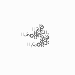 COc1ccc(S(=O)(=O)N2CCC[C@H](C(C)Cc3cccnc3)[C@H]2C(=O)NO)cc1.COc1ccc(S(=O)(=O)N2CCOC(c3cccnc3)C2C(=O)NO)cc1